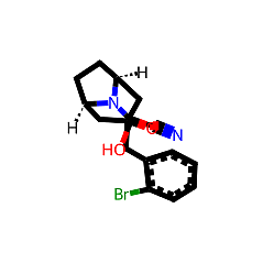 N#CC1(Cc2ccccc2Br)C[C@H]2CC[C@@H](C1)N2C(=O)O